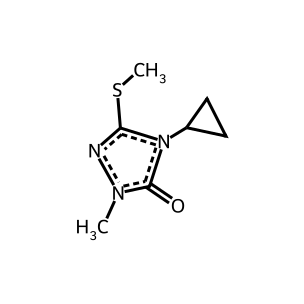 CSc1nn(C)c(=O)n1C1CC1